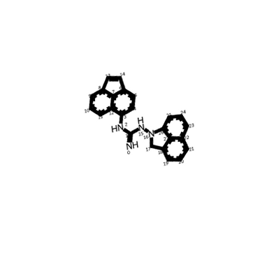 N=C(Nc1ccc2c3c(cccc13)C=C2)NN1Cc2cccc3cccc1c23